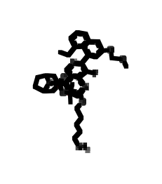 CCc1cccc2cc(OCOC)cc(-c3ncc4c(N5CC6CCC(C5)N6C(=O)OC(C)(C)C)nc(OCCCCCN)nc4c3F)c12